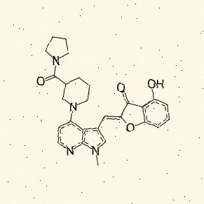 Cn1cc(C=C2Oc3cccc(O)c3C2=O)c2c(N3CCCC(C(=O)N4CCCC4)C3)ccnc21